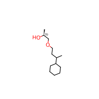 CC(CCOC[C@H](C)O)C1CCCCC1